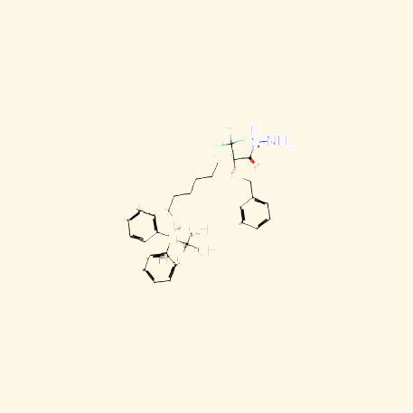 C[C@H](CCCCC[C@@](OCc1ccccc1)(C(=O)NN)C(F)(F)F)O[Si](c1ccccc1)(c1ccccc1)C(C)(C)C